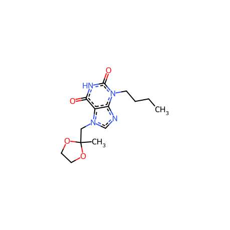 CCCCn1c(=O)[nH]c(=O)c2c1ncn2CC1(C)OCCO1